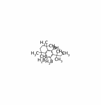 Bc1c(B)c2c(c(B)c1C(C)(C)CC)C(C)(C)CCC2(C)C